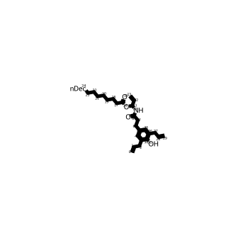 C=CCc1cc(CCC(=O)NC(C=C)OC(=O)CCCCCCCCCCCCCCCCC)cc(CC=C)c1O